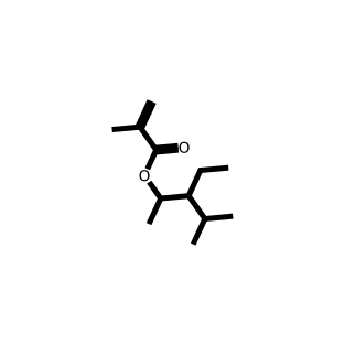 C=C(C)C(=O)OC(C)C(CC)C(C)C